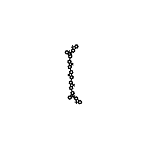 CC1(C)c2cc(-c3ccc4c(c3)C(C)(C)c3cc(-c5ccc6c(c5)c5ccccc5n6-c5ccc6c(c5)C(C)(C)c5ccccc5-6)ccc3-4)ccc2-c2ccc(-c3ccc4c(c3)C(C)(C)c3cc(-c5ccc6c(c5)c5ccccc5n6-c5ccc6c(c5)C(C)(C)c5ccccc5-6)ccc3-4)cc21